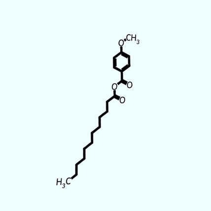 CCCCCCCCCCCC(=O)OC(=O)c1ccc(OC)cc1